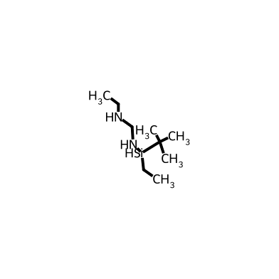 CCNCN[SiH](CC)C(C)(C)C